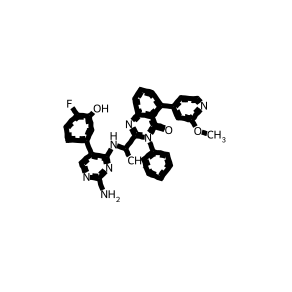 COc1cc(-c2cccc3nc(C(C)Nc4nc(N)ncc4-c4ccc(F)c(O)c4)n(-c4ccccc4)c(=O)c23)ccn1